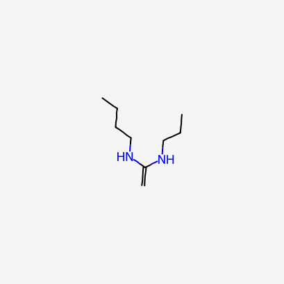 C=C(NCCC)NCCCC